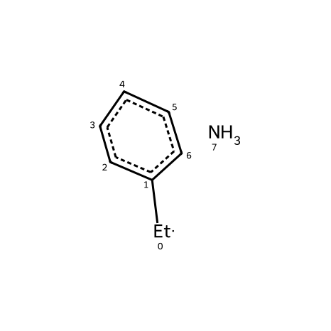 C[CH]c1ccccc1.N